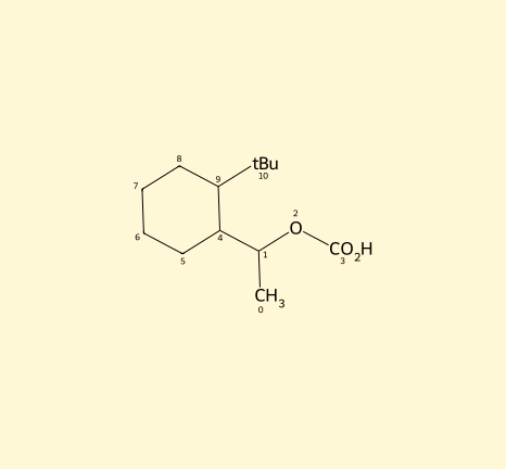 CC(OC(=O)O)C1CCCCC1C(C)(C)C